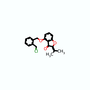 CC(C)=C1Oc2cccc(OCc3ccccc3CCl)c2C1=O